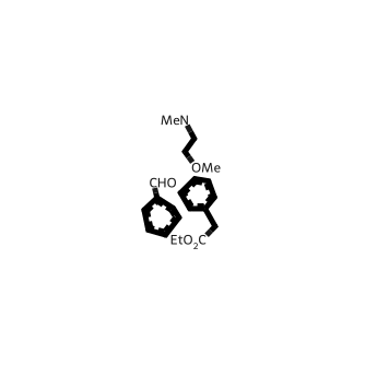 CCOC(=O)Cc1ccccc1.CNCCOC.O=Cc1ccccc1